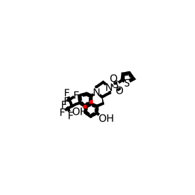 O=S(=O)(c1cccs1)N1CCN(c2ccc(C(O)(C(F)(F)F)C(F)(F)F)cc2)[C@H](Cc2ccccc2O)C1